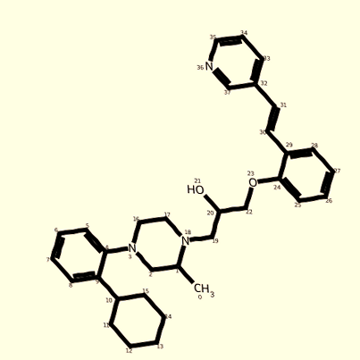 CC1CN(c2ccccc2C2CCCCC2)CCN1CC(O)COc1ccccc1C=Cc1cccnc1